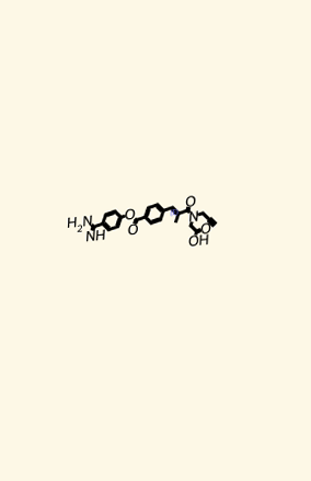 C#CCN(CC(=O)O)C(=O)/C(C)=C/c1ccc(C(=O)Oc2ccc(C(=N)N)cc2)cc1